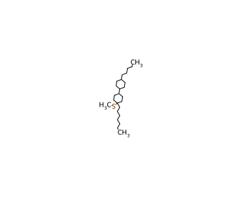 CCCCCCCC1(SC)CCC(C2CCC(CCCCC)CC2)CC1